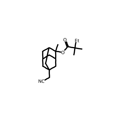 CCC(C)(C)C(=O)OC1(C)C2CC3CC1CC(CC#N)(C3)C2